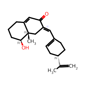 C=C(C)[C@@H]1CC=C(/C=C2\C[C@@]3(C)C(=CC2=O)CCC[C@@H]3O)CC1